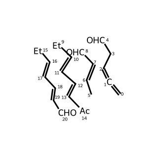 C=C=CCC=O.CC=CC=O.CCC=CC=CC(C)=O.CCC=CC=CC=O